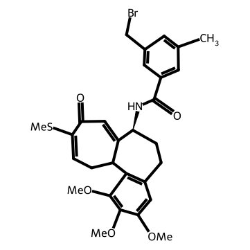 COc1cc2c(c(OC)c1OC)C1CC=C(SC)C(=O)C=C1[C@@H](NC(=O)c1cc(C)cc(CBr)c1)CC2